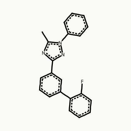 Cc1nc(-c2cccc(-c3ccccc3F)c2)nn1-c1ccccc1